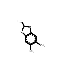 [CH2]c1cc2c(cc1[N+](=O)[O-])OC(C)O2